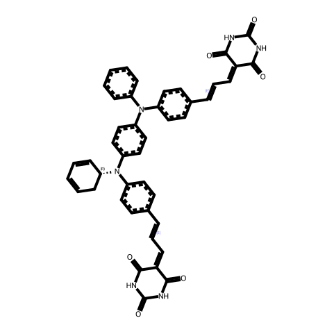 O=C1NC(=O)C(=C/C=C/c2ccc(N(c3ccccc3)c3ccc(N(c4ccc(/C=C/C=C5C(=O)NC(=O)NC5=O)cc4)[C@H]4C=CC=CC4)cc3)cc2)C(=O)N1